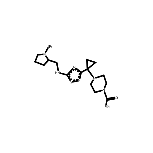 CC(C)N1CCCC1CNc1nc(C2(N3CCN(C(=O)C(C)(C)C)CC3)CC2)ns1